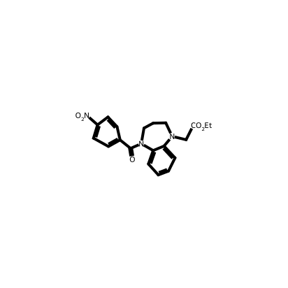 CCOC(=O)CN1CCCN(C(=O)c2ccc([N+](=O)[O-])cc2)c2ccccc21